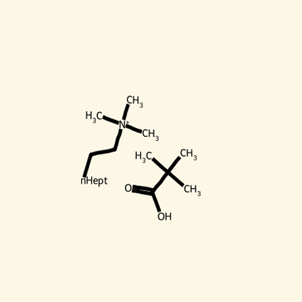 CC(C)(C)C(=O)O.CCCCCCCCC[N+](C)(C)C